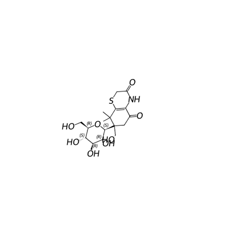 CC1(C)C2=C(NC(=O)CS2)C(=O)CC1(CO)[C@@H]1O[C@H](CO)[C@@H](O)[C@H](O)[C@H]1O